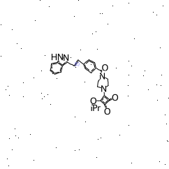 CC(C)Oc1c(N2CCN(C(=O)c3ccc(/C=C/c4n[nH]c5ccccc45)cc3)CC2)c(=O)c1=O